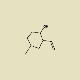 CC1CCC(O)C(C=O)C1